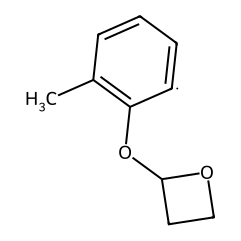 Cc1ccc[c]c1OC1CCO1